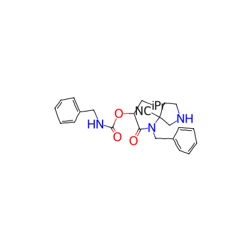 CC(C)CC(OC(=O)NCc1ccccc1)C(=O)N(Cc1ccccc1)C1(C#N)CCNC1